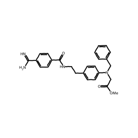 COC(=O)CN(Cc1ccccc1)c1ccc(CCNC(=O)c2ccc(C(=N)N)cc2)cc1